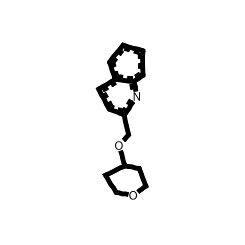 c1ccc2nc(COC3CCOCC3)ccc2c1